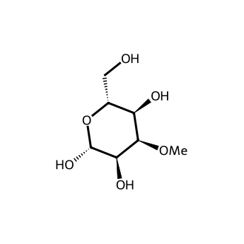 CO[C@H]1[C@@H](O)[C@H](O)O[C@H](CO)[C@H]1O